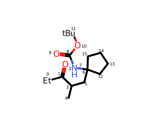 CCC(=O)C(C)CC1(NC(=O)OC(C)(C)C)CCCC1